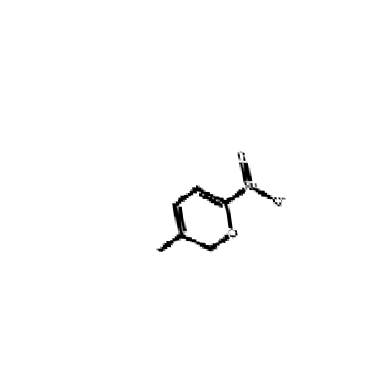 CC1=CC=C([N+](=O)[O-])OC1